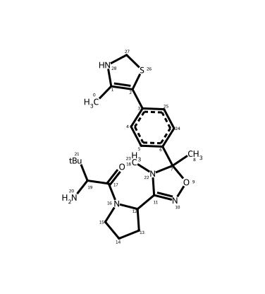 CC1=C(c2ccc(C3(C)ON=C(C4CCCN4C(=O)C(N)C(C)(C)C)N3C)cc2)SCN1